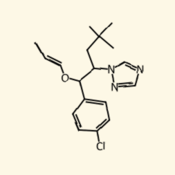 CC=COC(c1ccc(Cl)cc1)C(CC(C)(C)C)n1cncn1